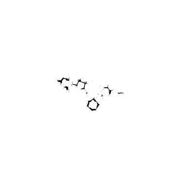 CCOC(=O)C(C)/N=[P+](\[O-])Oc1ccccc1OC[C@H]1OC(n2ccc(=O)[nH]c2=O)[C@](C)(F)[C@@H]1O